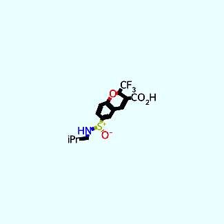 CC(C)CN[S+]([O-])c1ccc2c(c1)C=C(C(=O)O)C(C(F)(F)F)O2